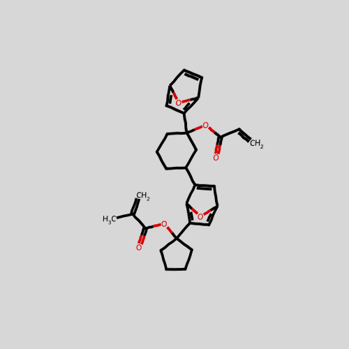 C=CC(=O)OC1(c2cc3ccc2o3)CCCC(c2cc3cc(C4(OC(=O)C(=C)C)CCCC4)c2o3)C1